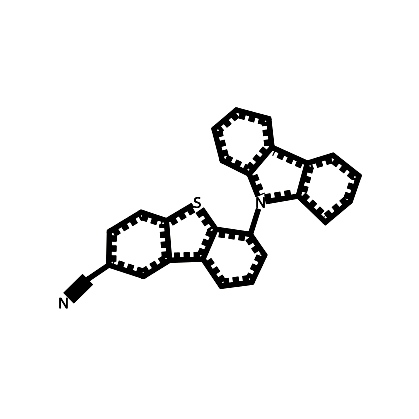 N#Cc1ccc2sc3c(-n4c5ccccc5c5ccccc54)cccc3c2c1